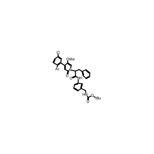 COc1cn(C(Cc2ccccc2)C(=O)Nc2cccc(CNC(=O)OC(C)(C)C)c2)c(=O)cc1-c1cc(Cl)ccc1C(C)=O